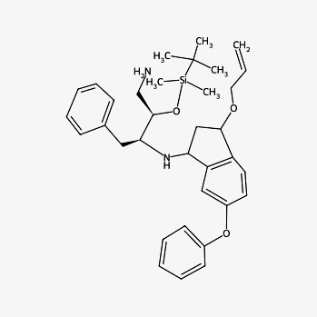 C=CCOC1CC(N[C@@H](Cc2ccccc2)[C@@H](CN)O[Si](C)(C)C(C)(C)C)c2cc(Oc3ccccc3)ccc21